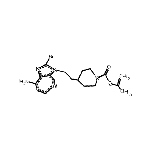 C=C(C)OC(=O)N1CCC(CCn2c(Br)nc3c(N)ncnc32)CC1